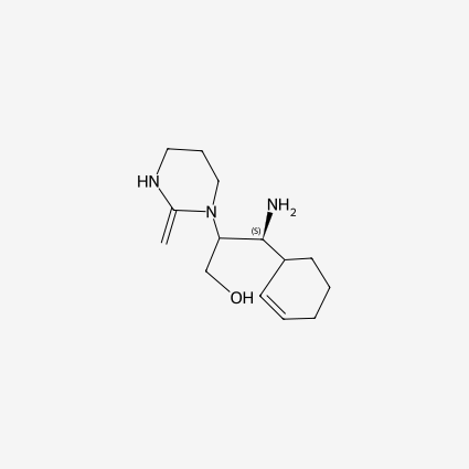 C=C1NCCCN1C(CO)[C@@H](N)C1C=CCCC1